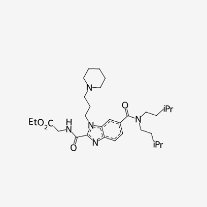 CCOC(=O)CNC(=O)c1nc2ccc(C(=O)N(CCC(C)C)CCC(C)C)cc2n1CCCN1CCCCC1